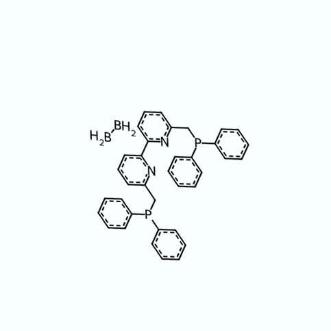 BB.c1ccc(P(Cc2cccc(-c3cccc(CP(c4ccccc4)c4ccccc4)n3)n2)c2ccccc2)cc1